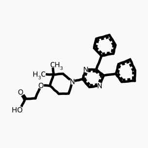 CC1(C)CN(c2cnc(-c3ccccc3)c(-c3ccccc3)n2)CCC1OCC(=O)O